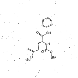 CC(C)(C)OC(=O)CC[C@H](NC(=O)OC(C)(C)C)C(=O)Nc1ccccc1